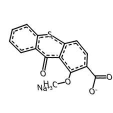 COc1c(C(=O)[O-])ccc2sc3ccccc3c(=O)c12.[Na+]